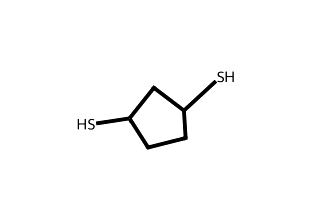 S[C]1CCC(S)C1